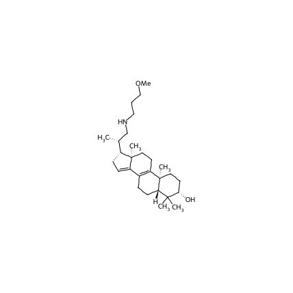 COCCCNC[C@@H](C)[C@H]1CC=C2C3=C(CC[C@@]21C)[C@@]1(C)CC[C@H](O)C(C)(C)[C@@H]1CC3